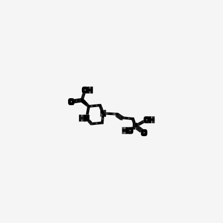 O=C(O)[C@H]1CN(C=CCP(=O)(O)O)CCN1